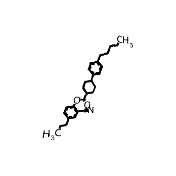 CCCCCc1ccc(C2CCC(C(=O)Oc3ccc(CCC)cc3C#N)CC2)cc1